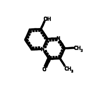 Cc1nc2c(O)cccn2c(=O)c1C